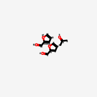 CC(C)=O.O=Cc1ccco1.O=Cc1ccco1